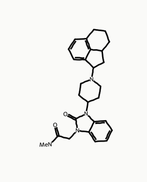 CNC(=O)Cn1c(=O)n(C2CCN(C3CC4CCCc5cccc3c54)CC2)c2ccccc21